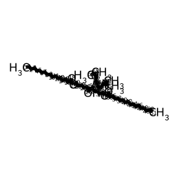 CCCCCCCCCCCCCCCCCC(=O)OCCCCCC(O)C(CCCCOC(=O)CCCCCCCCCCCCCCCCC)CN(CCCN(C)C)CCCN(C)C